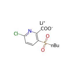 CCCCS(=O)(=O)c1ccc(Cl)nc1C(=O)[O-].[Li+]